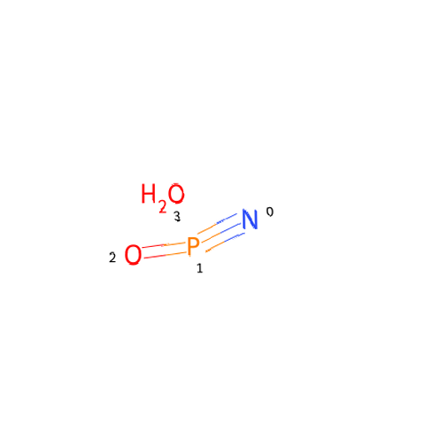 N#P=O.O